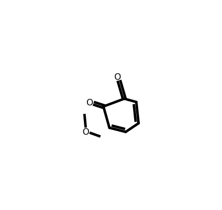 COC.O=C1C=CC=CC1=O